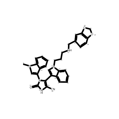 Cn1cc(-n2c(-c3cn(CCCNCc4ccc5c(c4)OCO5)c4ccccc34)c(C#N)[nH]c2=O)c2ccccc21